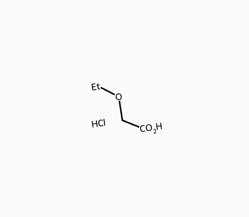 CCOCC(=O)O.Cl